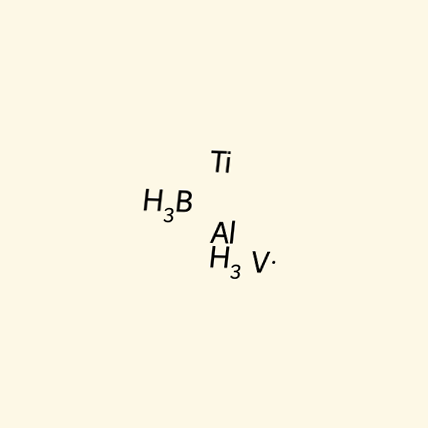 B.[AlH3].[Ti].[V]